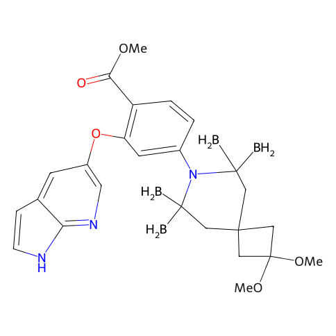 BC1(B)CC2(CC(OC)(OC)C2)CC(B)(B)N1c1ccc(C(=O)OC)c(Oc2cnc3[nH]ccc3c2)c1